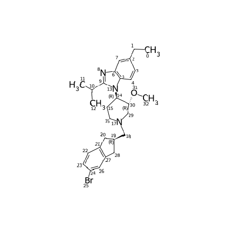 CCc1ccc2c(c1)nc(C(C)C)n2[C@@H]1CCN(C[C@@H]2Cc3ccc(Br)cc3C2)C[C@H]1OC